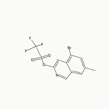 Cc1cc(Br)c2cc(OS(=O)(=O)C(F)(F)F)ncc2c1